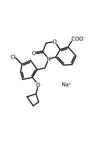 O=C([O-])c1cccc2c1OCC(=O)N2Cc1cc(Cl)ccc1OC1CCC1.[Na+]